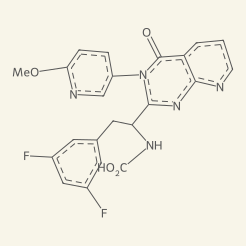 COc1ccc(-n2c(C(Cc3cc(F)cc(F)c3)NC(=O)O)nc3ncccc3c2=O)cn1